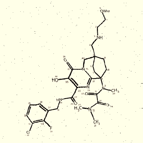 COCCNCC12CCC(N(C)C(=O)C(=O)N(C)C)(CC1)c1nc(C(=O)NCc3cccc(Cl)c3F)c(O)c(=O)n1C2